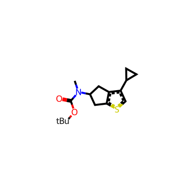 CN(C(=O)OC(C)(C)C)C1Cc2scc(C3CC3)c2C1